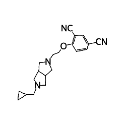 N#Cc1ccc(OCCN2CC3CN(CC4CC4)CC3C2)c(C#N)c1